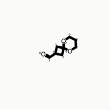 O=CC1CC2(C1)OCCCO2